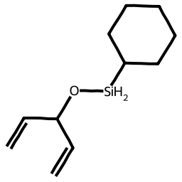 C=CC(C=C)O[SiH2]C1CCCCC1